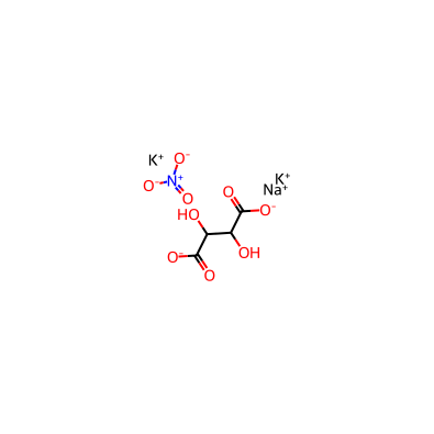 O=C([O-])C(O)C(O)C(=O)[O-].O=[N+]([O-])[O-].[K+].[K+].[Na+]